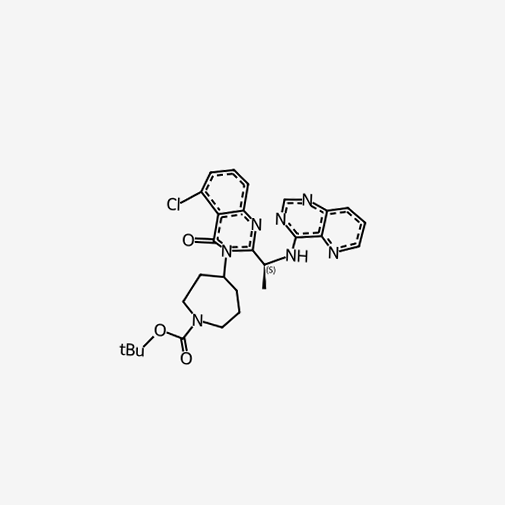 C[C@H](Nc1ncnc2cccnc12)c1nc2cccc(Cl)c2c(=O)n1C1CCCN(C(=O)OC(C)(C)C)CC1